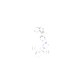 BC(B)(c1ccnc(-c2ccc3c(c2)oc2ccc4ccccc4c23)c1)C1CCCCC1